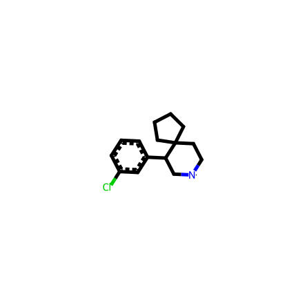 Clc1cccc(C2C[N]CCC23CCCC3)c1